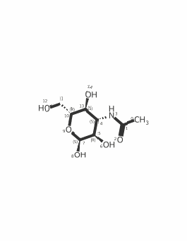 CC(=O)N[C@@H]1[C@@H](O)[C@@H](O)O[C@H](CO)[C@H]1O